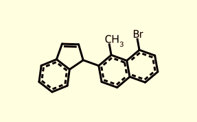 Cc1c(C2C=Cc3ccccc32)ccc2cccc(Br)c12